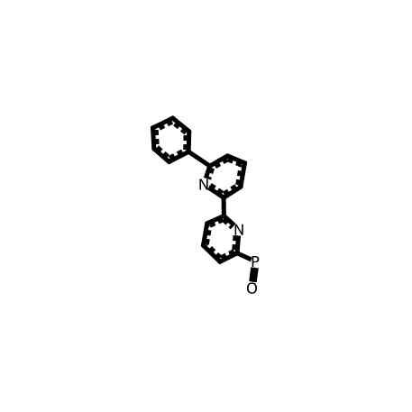 O=Pc1cccc(-c2cccc(-c3ccccc3)n2)n1